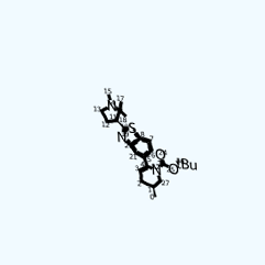 C[C@H]1CC=C(c2ccc3sc([C@H]4CCN(C)C4(C)C)nc3c2)N(C(=O)OC(C)(C)C)C1